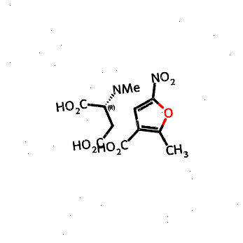 CN[C@H](CC(=O)O)C(=O)O.Cc1oc([N+](=O)[O-])cc1C(=O)O